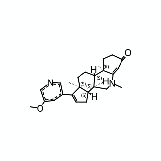 COc1cncc(C2=CC[C@H]3[C@@H]4CN(C)C5=CC(=O)CC[C@]5(C)[C@H]4CC[C@]23C)c1